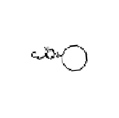 O=Cc1cn(C2CCCCCCCCCCC2)cn1